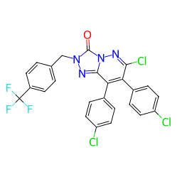 O=c1n(Cc2ccc(C(F)(F)F)cc2)nc2c(-c3ccc(Cl)cc3)c(-c3ccc(Cl)cc3)c(Cl)nn12